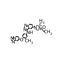 C=CC(=O)N1CCN(c2ccc3ncnc(Nc4ccc(Oc5ccn6ncnc6c5)c(C)c4)c3c2)CC1C